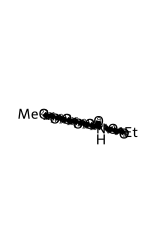 CCOCCOCCNC(=O)COCCOCCOCCOCCOC